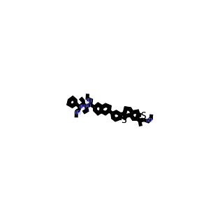 C=CC(/C(C=C)=C(\C=C\C)c1ccc2cc(-c3ccc4sc5c6cc7c(C)c(/C=C\C)sc7cc6ccc5c4c3)ccc2c1)=C(/C=C/C)c1ccccc1